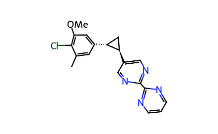 COc1cc([C@@H]2C[C@H]2c2cnc(-c3ncccn3)nc2)cc(C)c1Cl